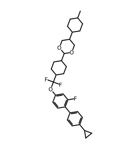 CC1CCC(C2COC(C3CCC(C(F)(F)Oc4ccc(-c5ccc(C6CC6)cc5)c(F)c4)CC3)OC2)CC1